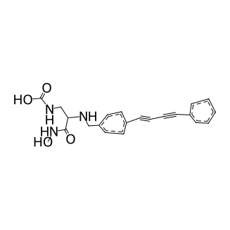 O=C(O)NCC(NCc1ccc(C#CC#Cc2ccccc2)cc1)C(=O)NO